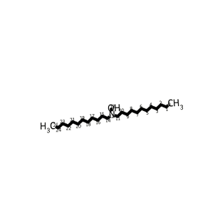 CCCCCCCCCCCCN(O)CCCCCCCCCCCC